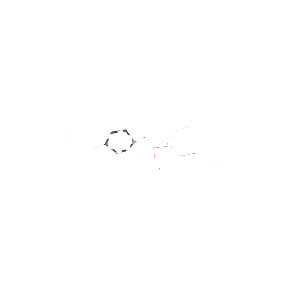 CCCN(CCC)C(Cc1ccc(OC)cc1)OC